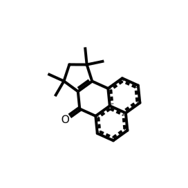 CC1(C)CC(C)(C)C2=C1C(=O)c1cccc3cccc2c13